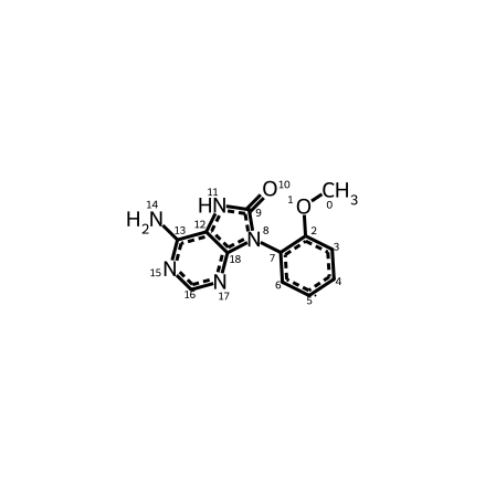 COc1cc[c]cc1-n1c(=O)[nH]c2c(N)ncnc21